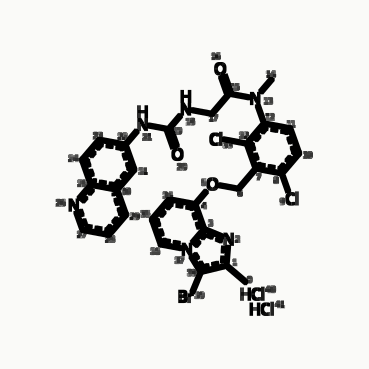 Cc1nc2c(OCc3c(Cl)ccc(N(C)C(=O)CNC(=O)Nc4ccc5ncccc5c4)c3Cl)cccn2c1Br.Cl.Cl